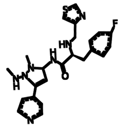 CNN1C(c2ccncc2)=CC(NC(=O)[C@H](Cc2ccc(F)cc2)NCc2cscn2)N1C